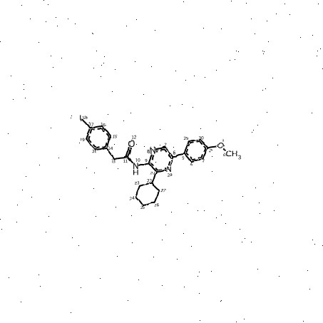 COc1ccc(-c2cnc(NC(=O)Cc3ccc(I)cc3)c(C3CCCCC3)n2)cc1